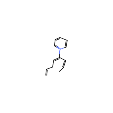 C=CC/C=C(\C=C/C)[n+]1ccccc1